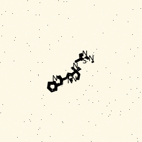 CN(C)c1ncc(CN2CC3(CCn4nc(-c5cnc6ccccc6c5)cc43)C2)s1